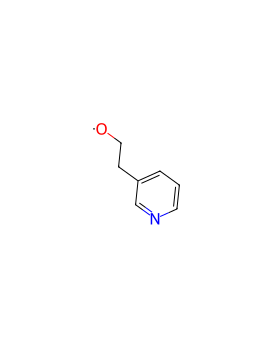 [O]CCc1cccnc1